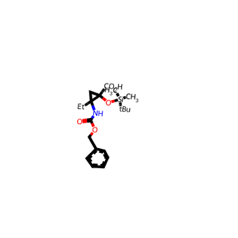 CCC1(NC(=O)OCc2ccccc2)CC1(O[Si](C)(C)C(C)(C)C)C(=O)O